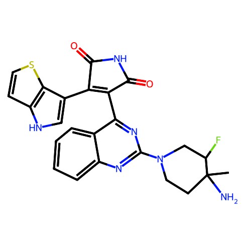 CC1(N)CCN(c2nc(C3=C(c4c[nH]c5ccsc45)C(=O)NC3=O)c3ccccc3n2)CC1F